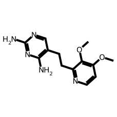 COc1ccnc(CCc2cnc(N)nc2N)c1OC